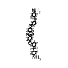 CC(C)(c1ccc(N)cc1)c1cccc(Oc2ccc(S(=O)(=O)c3ccc(Oc4cccc(C(C)(C)c5ccc(N)cc5)c4)cc3)cc2)c1